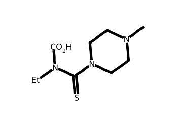 CCN(C(=O)O)C(=S)N1CCN(C)CC1